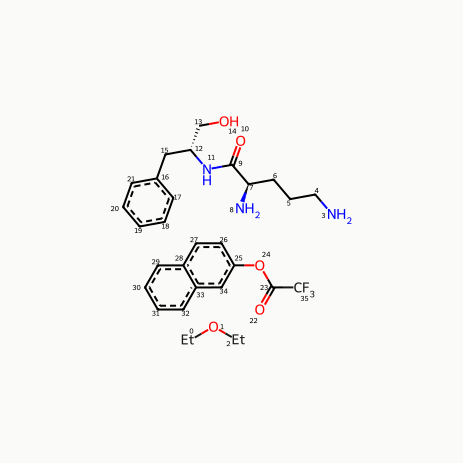 CCOCC.NCCC[C@@H](N)C(=O)N[C@@H](CO)Cc1ccccc1.O=C(Oc1ccc2ccccc2c1)C(F)(F)F